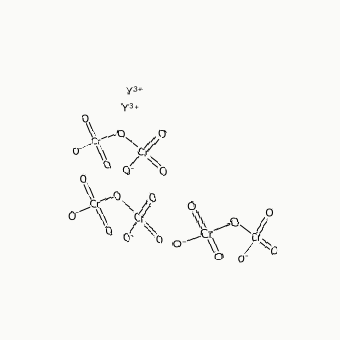 [O]=[Cr](=[O])([O-])[O][Cr](=[O])(=[O])[O-].[O]=[Cr](=[O])([O-])[O][Cr](=[O])(=[O])[O-].[O]=[Cr](=[O])([O-])[O][Cr](=[O])(=[O])[O-].[Y+3].[Y+3]